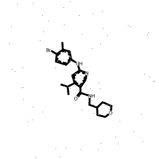 Cc1cc(Nc2cc(C(C)C)c(C(=O)NCC3CCOCC3)cn2)ccc1Br